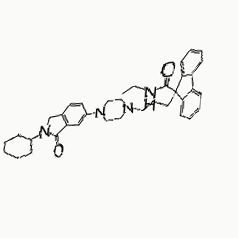 CCNC(=O)C1(CCCN2CCN(c3ccc4c(c3)C(=O)N(C3CCCCC3)C4)CC2)c2ccccc2-c2ccccc21